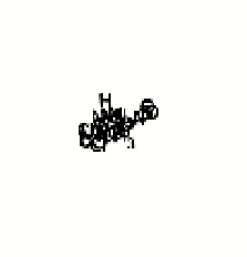 COC(=O)c1cc(Nc2ncc3cc(-c4c(Cl)cccc4Cl)c(=O)n(C)c3n2)nnc1OCCN1CCS(=O)(=O)CC1